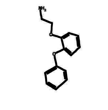 NCCOc1ccccc1Oc1ccccc1